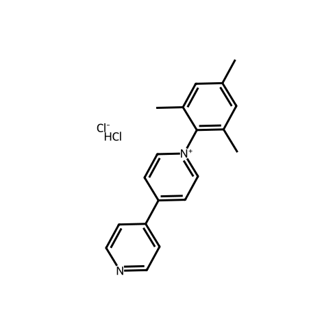 Cc1cc(C)c(-[n+]2ccc(-c3ccncc3)cc2)c(C)c1.Cl.[Cl-]